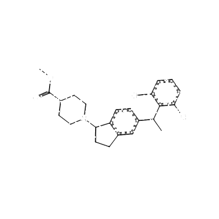 COC(=O)C1CCN(C2CCc3cc(C(C)c4c(Cl)cccc4Cl)ccc32)CC1